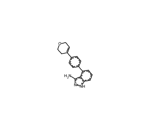 Nc1n[nH]c2cccc(-c3ccc(C4=CCOCC4)cc3)c12